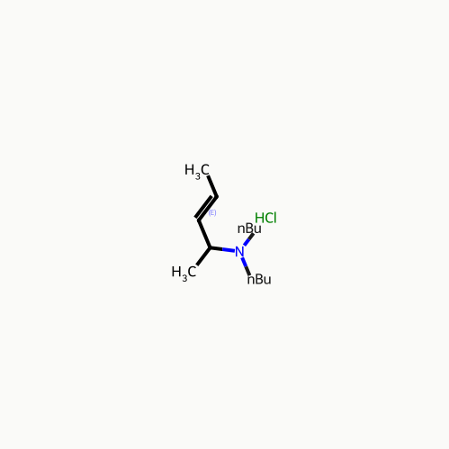 C/C=C/C(C)N(CCCC)CCCC.Cl